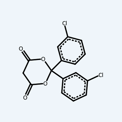 O=C1CC(=O)OC(c2cccc(Cl)c2)(c2cccc(Cl)c2)O1